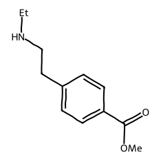 CCNCCc1ccc(C(=O)OC)cc1